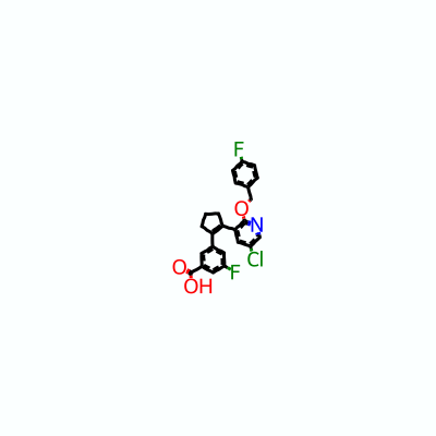 O=C(O)c1cc(F)cc(C2=C(c3cc(Cl)cnc3OCc3ccc(F)cc3)CCC2)c1